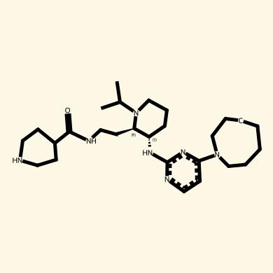 CC(C)N1CCC[C@H](Nc2nccc(N3CCCCCCC3)n2)[C@H]1CCNC(=O)C1CCNCC1